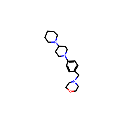 c1cc(N2CCC(N3CCCCC3)CC2)ccc1CN1CCOCC1